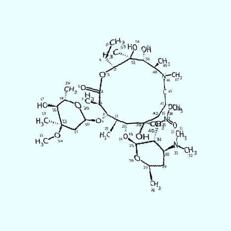 CC[C@H]1OC(=O)[C@H](C)[C@@H](O[C@H]2C[C@@](C)(OC)[C@@H](O)[C@H](C)O2)[C@H](C)[C@@H](O[C@@H]2O[C@H](C)C[C@H](N(C)C)[C@H]2O[N+](=O)[O-])[C@](C)(O)C[C@@H](C)CN(C)[C@H](C)[C@@H](O)[C@]1(C)O